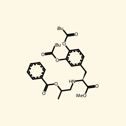 CCC(C)C(=O)Oc1ccc(C[C@H](NCC(C)OC(=O)c2ccccc2)C(=O)OC)cc1OC(=O)C(C)CC